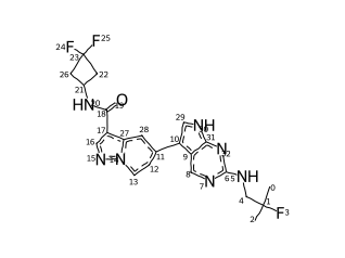 CC(C)(F)CNc1ncc2c(-c3ccn4ncc(C(=O)NC5CC(F)(F)C5)c4c3)c[nH]c2n1